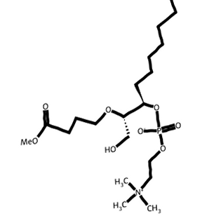 CCCCCCCCCCCCCCCC[C@@H](OP(=O)([O-])OCC[N+](C)(C)C)[C@H](CO)OCCCC(=O)OC